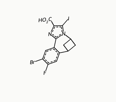 O=C(O)c1nc2n(c1I)C1CC(C1)c1cc(F)c(Br)cc1-2